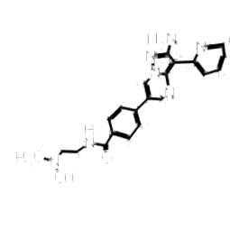 CN(C)CCNC(=O)c1ccc(-c2cnc3c(-c4ccccn4)c(N)nn3c2)cc1